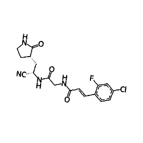 N#C[C@H](C[C@@H]1CCNC1=O)NC(=O)CNC(=O)/C=C/c1ccc(Cl)cc1F